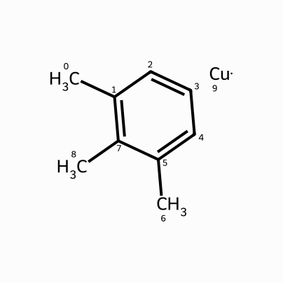 Cc1cccc(C)c1C.[Cu]